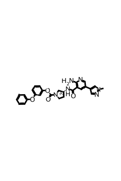 Cn1cc(-c2cnc(N)c(C(=O)N[C@@H]3CCN(C(=O)Oc4cccc(Oc5ccccc5)c4)C3)c2)cn1